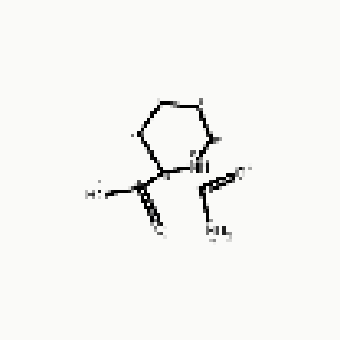 NC=O.O=C(O)C1CCCCN1